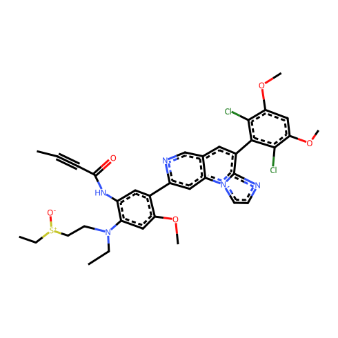 CC#CC(=O)Nc1cc(-c2cc3c(cn2)cc(-c2c(Cl)c(OC)cc(OC)c2Cl)c2nccn23)c(OC)cc1N(CC)CC[S+]([O-])CC